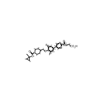 CC1(OC(=O)N2CCC(COc3c(F)cc(-c4cnc(C(=O)NCC(=O)O)nc4)cc3F)CC2)CC1